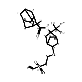 C=CS(=O)(=O)CCOC1CC2CC1CC2(OC(=O)C1(C)C2CC3CC(C2)CC1C3)C(F)(F)F